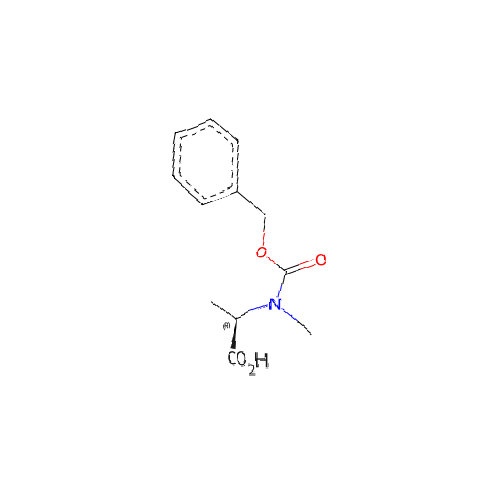 C[C@H](C(=O)O)N(C)C(=O)OCc1ccccc1